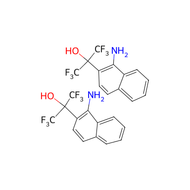 Nc1c(C(O)(C(F)(F)F)C(F)(F)F)ccc2ccccc12.Nc1c(C(O)(C(F)(F)F)C(F)(F)F)ccc2ccccc12